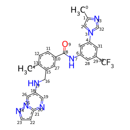 Cc1cn(-c2cc(NC(=O)c3ccc(C)c(CNc4cnc5ccnn5c4)c3)cc(C(F)(F)F)c2)cn1